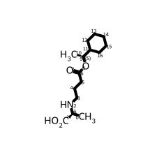 C[C@H](NCCCC(=O)O[C@@H](C)C1CCCCC1)C(=O)O